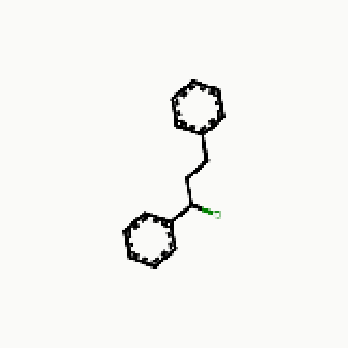 ClC(CCc1ccccc1)c1ccccc1